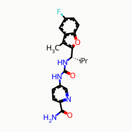 Cc1c([C@@H](NC(=O)Nc2ccc(C(N)=O)nc2)C(C)C)oc2ccc(F)cc12